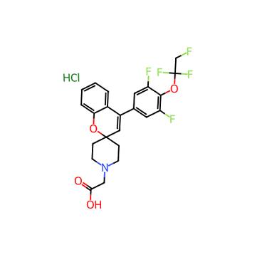 Cl.O=C(O)CN1CCC2(C=C(c3cc(F)c(OC(F)(F)CF)c(F)c3)c3ccccc3O2)CC1